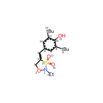 CCN1OC/C(=C/c2cc(C(C)(C)C)c(O)c(C(C)(C)C)c2)S1(=O)=O